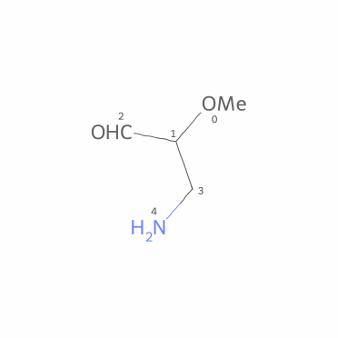 COC(C=O)CN